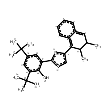 CC1C=c2ccccc2=C(c2csc(-c3cc(C(C)(C)C)cc(C(C)(C)C)c3O)n2)C1C